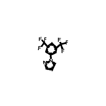 FC(F)(F)c1cc(-n2c[c]cn2)cc(C(F)(F)F)c1